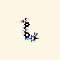 Cc1cnc(NC2CCC(C(=O)NCc3cccc([N+](=O)[O-])c3)CC2)nc1N(C)C